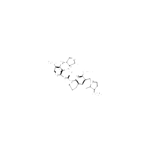 COC1CCN(Cc2cc3c(nc2C=O)N(C(=O)Nc2cc(N[C@H]4COC[C@@H]4OC)c(C#N)cn2)CCC3)C1C